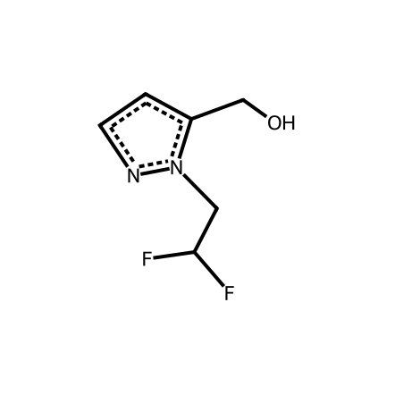 OCc1ccnn1CC(F)F